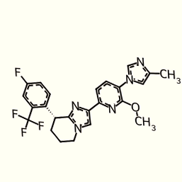 COc1nc(-c2cn3c(n2)[C@@H](c2ccc(F)cc2C(F)(F)F)CCC3)ccc1-n1cnc(C)c1